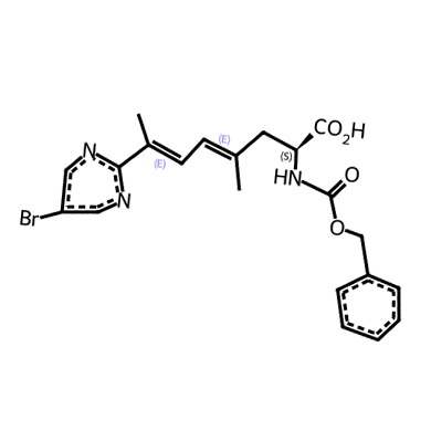 C/C(=C\C=C(/C)c1ncc(Br)cn1)C[C@H](NC(=O)OCc1ccccc1)C(=O)O